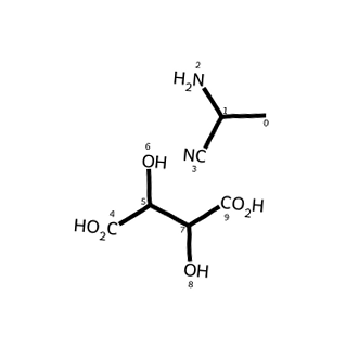 CC(N)C#N.O=C(O)C(O)C(O)C(=O)O